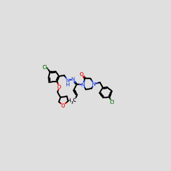 C/C=C/C(=N\NCc1cc(Cl)ccc1OCC1CCOC1)N1CCN(Cc2ccc(Cl)cc2)CC1=O